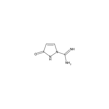 N=C(N)n1ccc(=O)[nH]1